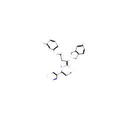 O=C(Nc1cccc(O)c1)c1nn2c(-c3cn[nH]c3)ccnc2c1N1Cc2ccc(F)cc2C1